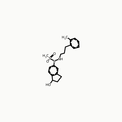 Cc1ccccc1CCCNN(c1ccc2c(c1)CCC2O)S(C)(=O)=O